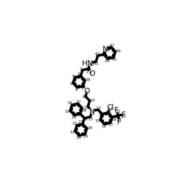 O=C(Cc1cccc(OCCCN(Cc2cccc(C(F)(F)F)c2Cl)CC(c2ccccc2)c2ccccc2)c1)NCCc1ccccn1